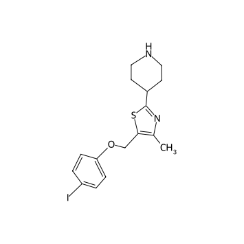 Cc1nc(C2CCNCC2)sc1COc1ccc(I)cc1